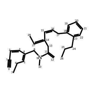 C#C/C=C\C(=C/CC)CN(C)C(=C)CC(/C=C\Cc1ccccc1CCC)=C/C